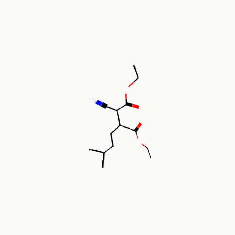 CCOC(=O)C(C#N)C(CCC(C)C)C(=O)OCC